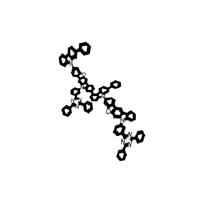 c1ccc(-c2ccc3c4ccccc4n(-c4ccc5c(c4)oc4cc6c7ccc(-c8cccc9c8c8ccc(-c%10ccccc%10)cc8n9-c8ccc9c(c8)oc8cc%10c(cc89)c8ccccc8n%10-c8cccc(-c9nc(-c%10ccccc%10)nc(-c%10ccccc%10)n9)c8)cc7n(-c7cccc(-c8nc(-c9ccccc9)nc(-c9ccccc9)n8)c7)c6cc45)c3c2)cc1